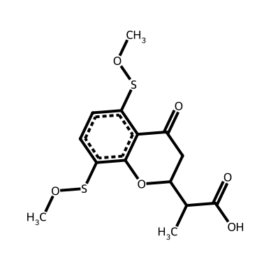 COSc1ccc(SOC)c2c1OC(C(C)C(=O)O)CC2=O